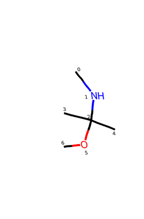 CNC(C)(C)OC